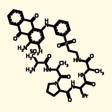 CC(N)C(=O)NC(C)C(=O)N1CCCC1C(=O)NC(C(=O)NC(C)C(=O)NCCS(=O)(=O)c1cccc(Nc2cc(S(=O)(=O)O)c(N)c3c2C(=O)c2ccccc2C3=O)c1)C(C)C